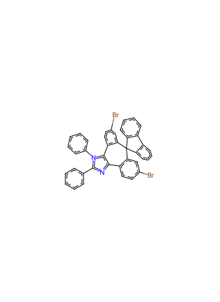 Brc1ccc2c(c1)C1(c3ccccc3-c3ccccc31)c1cc(Br)ccc1-c1c-2nc(-c2ccccc2)n1-c1ccccc1